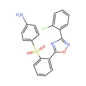 Nc1ccc(S(=O)(=O)c2ccccc2-c2nc(-c3ccccc3F)no2)cc1